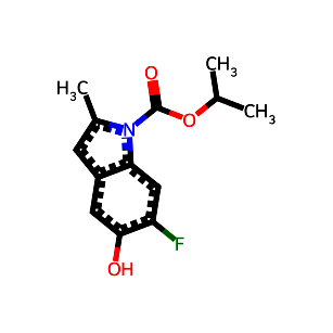 Cc1cc2cc(O)c(F)cc2n1C(=O)OC(C)C